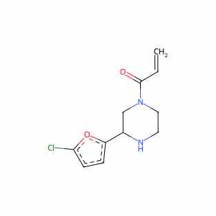 C=CC(=O)N1CCNC(c2ccc(Cl)o2)C1